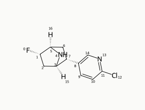 F[C@H]1C[C@H]2N[C@@H]1C[C@@H]2c1ccc(Cl)nc1